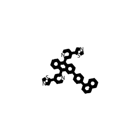 c1ccc2c(-c3ccc(-c4ccc5c(-c6cc(-c7cncs7)ccn6)c6ccccc6c(-c6cc(-c7cncs7)ccn6)c5c4)cc3)cccc2c1